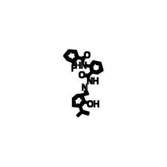 C=C(C)c1cccc(/C=N/NC(=O)c2ccccc2NC(=O)c2ccccc2F)c1O